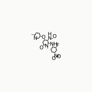 Cc1ccc(Oc2cc(=O)n(C)c(Nc3ccc([N+](=O)[O-])cc3F)c2NC=O)cn1